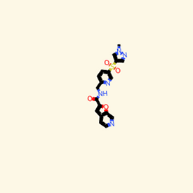 Cn1cc(S(=O)(=O)c2ccc(CNC(=O)c3cc4ccncc4o3)nc2)cn1